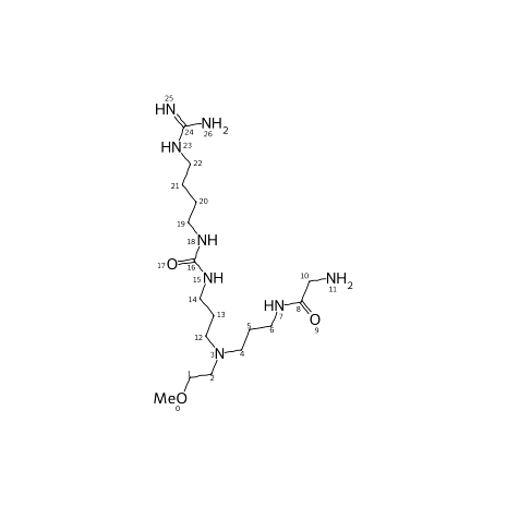 COCCN(CCCNC(=O)CN)CCCNC(=O)NCCCCNC(=N)N